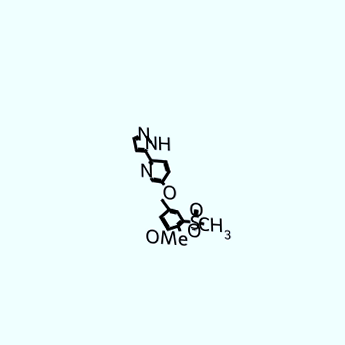 COc1ccc(COc2ccc(-c3ccn[nH]3)nc2)cc1S(C)(=O)=O